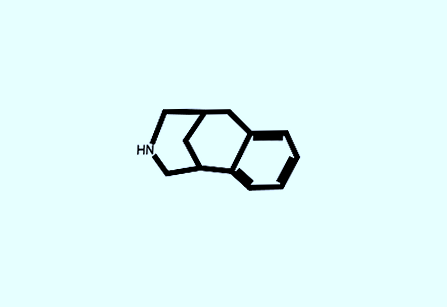 c1ccc2c(c1)CC1CNCC2C1